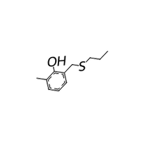 CCCSCc1cccc(C)c1O